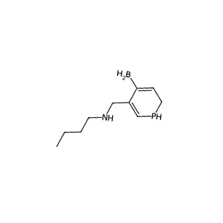 BC1=CCPC=C1CNCCCC